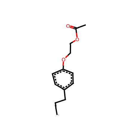 [CH2]CCc1ccc(OCCOC(C)=O)cc1